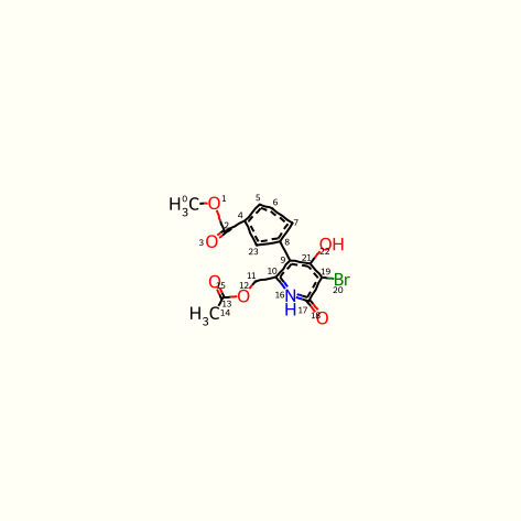 COC(=O)c1cccc(-c2c(COC(C)=O)[nH]c(=O)c(Br)c2O)c1